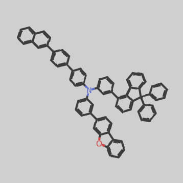 c1ccc(C2(c3ccccc3)c3ccccc3-c3c(-c4cccc(N(c5ccc(-c6ccc(-c7ccc8ccccc8c7)cc6)cc5)c5cccc(-c6ccc7c(c6)oc6ccccc67)c5)c4)cccc32)cc1